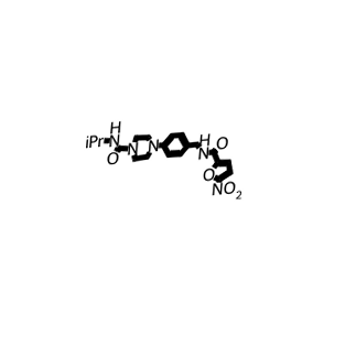 CC(C)NC(=O)N1CCN(c2ccc(CNC(=O)c3ccc([N+](=O)[O-])o3)cc2)CC1